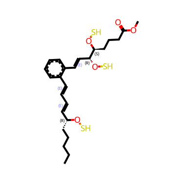 CCCCC[C@H](/C=C/C=C/c1ccccc1/C=C/[C@@H](OS)[C@H](CCCC(=O)OC)OS)OS